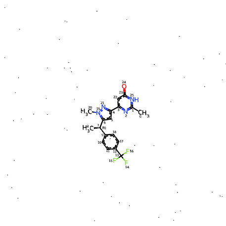 Cc1nc(-c2cc([C@H](C)c3ccc(C(F)(F)F)cc3)n(C)n2)cc(=O)[nH]1